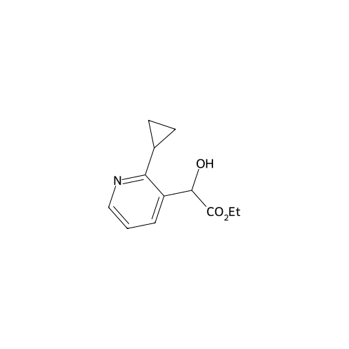 CCOC(=O)C(O)c1cccnc1C1CC1